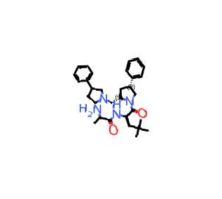 CC(N)C(=O)NC(CC(C)(C)C)C(=O)N1C[C@@H](c2ccccc2)C[C@H]1CN1CCC(c2ccccc2)C1